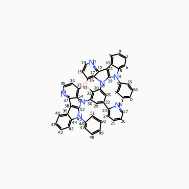 c1ccc(-n2c3ccccc3c3c4nccc5c4n(c32)-c2cc(-c3ccccn3)cc3c2B5c2ccnc4c5c6ccccc6n(-c6ccccc6)c5n-3c24)cc1